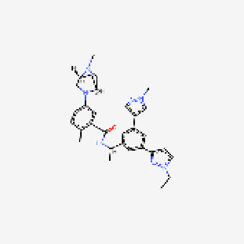 CCn1ccc(-c2cc(-c3cnn(C)c3)cc([C@@H](C)NC(=O)c3cc(N4C[C@H]5C[C@@H]4CN5C)ccc3C)c2)n1